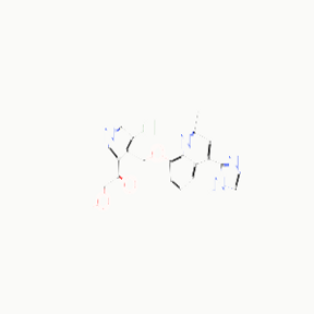 COCC(=O)c1cncc(Cl)c1COc1cccc2c(-c3nccn3C)cc(C)nc12